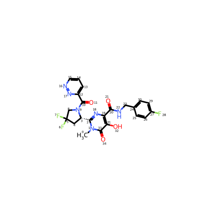 Cn1c([C@@H]2CC(F)(F)CN2C(=O)c2cccnn2)nc(C(=O)NCc2ccc(F)cc2)c(O)c1=O